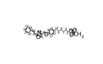 CS(=O)(=O)OCCCCCCc1ccc(OCc2coc(C=Cc3ccccc3)n2)cc1